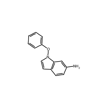 Nc1ccc2ccn(Oc3ccccc3)c2c1